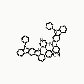 N#Cc1cccc(-c2c(-n3c4ccccc4c4cc5c6ccccc6n(-c6ccccc6)c5cc43)cncc2-n2c3ccccc3c3cc4c5ccccc5n(-c5ccccc5)c4cc32)c1